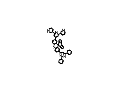 c1ccc(-c2cc(-c3ccc4c(c3)C3(c5cc(-c6cc(-c7cccnc7)nc(-c7cccnc7)c6)ccc5S4)c4ccccc4-c4ccccc43)nc(-c3ccccc3)n2)cc1